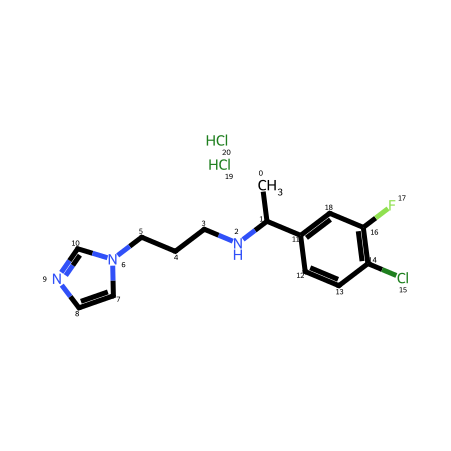 CC(NCCCn1ccnc1)c1ccc(Cl)c(F)c1.Cl.Cl